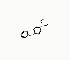 CCN(CC)c1ccc(Nc2ccccc2)cc1